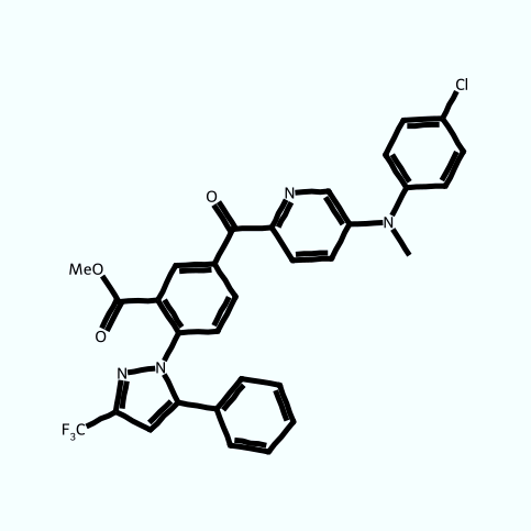 COC(=O)c1cc(C(=O)c2ccc(N(C)c3ccc(Cl)cc3)cn2)ccc1-n1nc(C(F)(F)F)cc1-c1ccccc1